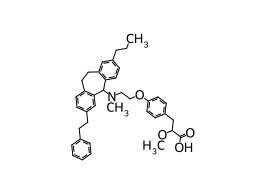 CCCc1ccc2c(c1)CCc1ccc(CCc3ccccc3)cc1C2N(C)CCOc1ccc(CC(OC)C(=O)O)cc1